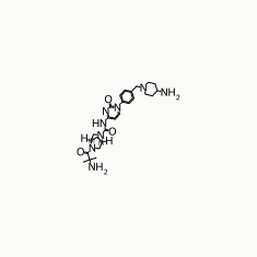 CC(C)(N)C(=O)N1C[C@@H]2C[C@H]1CN2C(=O)Nc1ccn(-c2ccc(CN3CCC(N)CC3)cc2)c(=O)n1